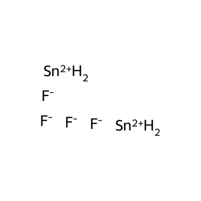 [F-].[F-].[F-].[F-].[SnH2+2].[SnH2+2]